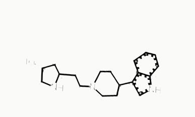 O[C@H]1CNC(CCN2CCC(c3c[nH]c4ccccc34)CC2)C1